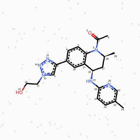 CC(=O)N1c2ccc(-c3cn(CCO)nn3)cc2[C@H](Nc2ccc(C)cn2)C[C@@H]1C